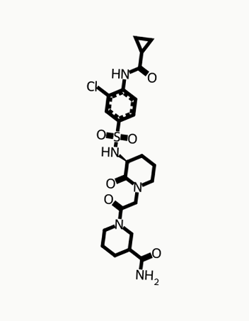 NC(=O)C1CCCN(C(=O)CN2CCC[C@H](NS(=O)(=O)c3ccc(NC(=O)C4CC4)c(Cl)c3)C2=O)C1